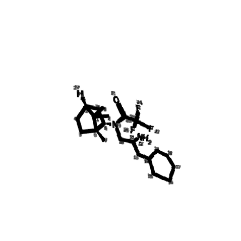 CC1(C)[C@@H]2CC[C@@]1(C)[C@@H](N(C[C@@H](N)CC1CCCCC1)C(=O)C(F)(F)F)C2